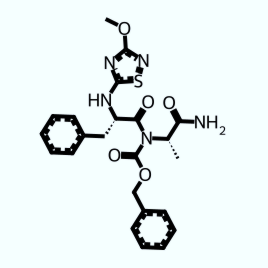 COc1nsc(N[C@@H](Cc2ccccc2)C(=O)N(C(=O)OCc2ccccc2)[C@@H](C)C(N)=O)n1